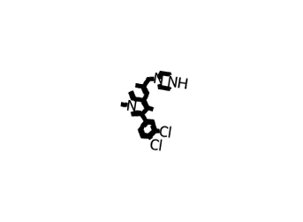 C=C1C(/C=C(\C)CN2CCNCC2)=C(C)C(c2ccc(Cl)c(Cl)c2)=CN1C